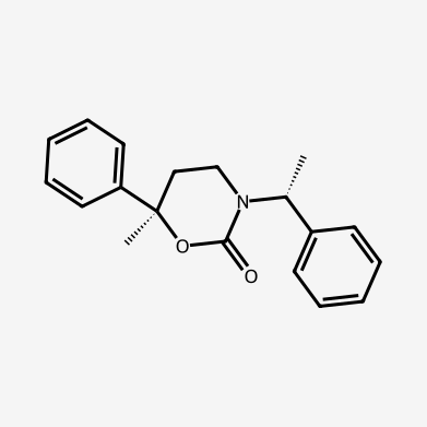 C[C@H](c1ccccc1)N1CC[C@](C)(c2ccccc2)OC1=O